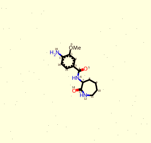 COc1cc(C(=O)NC2CCCCNC2=O)ccc1N